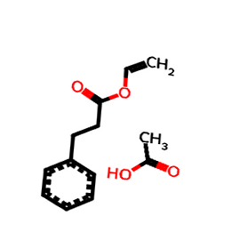 C=COC(=O)CCc1ccccc1.CC(=O)O